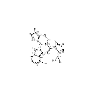 Cc1cccn2nc([C@@H]3c4nc[nH]c4CCN3C(=O)c3ocnc3C3CC3)cc12